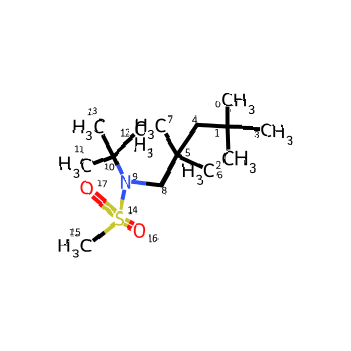 CC(C)(C)CC(C)(C)CN(C(C)(C)C)S(C)(=O)=O